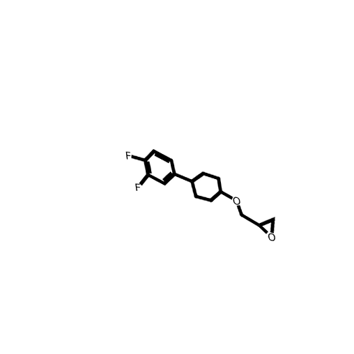 Fc1ccc(C2CCC(OCC3CO3)CC2)cc1F